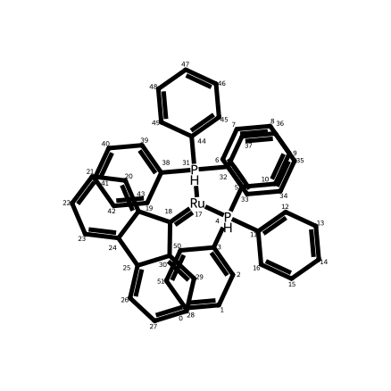 c1ccc([PH](c2ccccc2)(c2ccccc2)[Ru](=[C]2c3ccccc3-c3ccccc32)[PH](c2ccccc2)(c2ccccc2)c2ccccc2)cc1